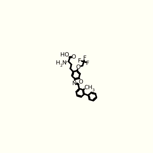 Cc1c(-c2ccccc2)cccc1-c1nc2cc(CC[C@H](N)C(=O)O)c(OCC(F)(F)F)cc2o1